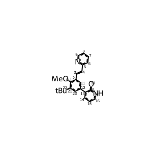 COc1c(/C=C/c2ccccn2)cc(-c2ccc[nH]c2=O)cc1C(C)(C)C